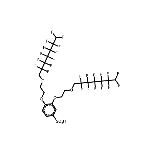 O=S(=O)(O)c1ccc(OCCOCC(F)(F)C(F)(F)C(F)(F)C(F)(F)C(F)(F)C(F)F)c(OCCOCC(F)(F)C(F)(F)C(F)(F)C(F)(F)C(F)(F)C(F)F)c1